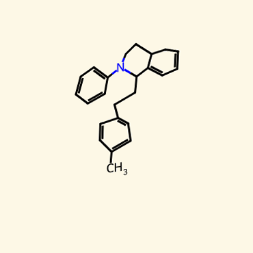 Cc1ccc(CCC2C3=CC=CCC3CCN2c2ccccc2)cc1